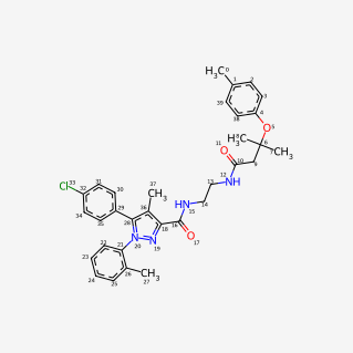 Cc1ccc(OC(C)(C)CC(=O)NCCNC(=O)c2nn(-c3ccccc3C)c(-c3ccc(Cl)cc3)c2C)cc1